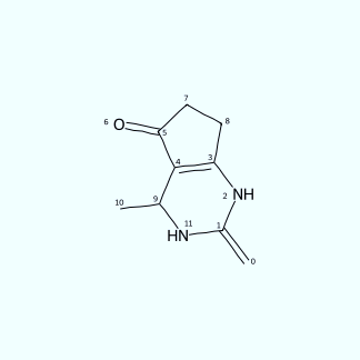 C=C1NC2=C(C(=O)CC2)C(C)N1